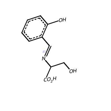 O=C(O)C(CO)/N=C/c1ccccc1O